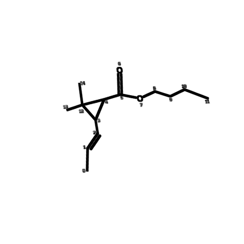 CC=CC1C(C(=O)OCCCC)C1(C)C